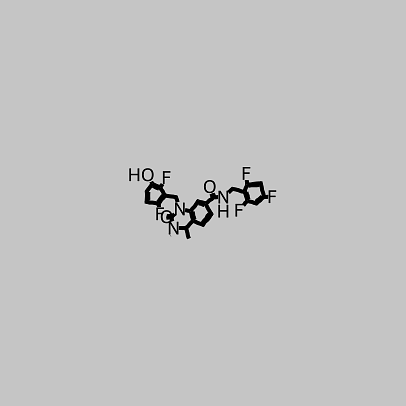 CC1c2ccc(C(=O)NCc3c(F)cc(F)cc3F)cc2N(Cc2c(F)ccc(O)c2F)C(=O)N1C